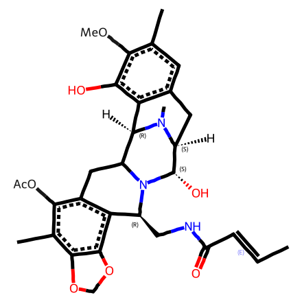 C/C=C/C(=O)NC[C@H]1c2c(c(OC(C)=O)c(C)c3c2OCO3)CC2[C@H]3c4c(cc(C)c(OC)c4O)C[C@@H]([C@H](O)N21)N3C